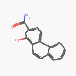 NC(=O)c1ccc2c(ccc3ccccc32)c1[O]